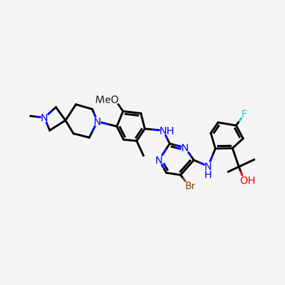 COc1cc(Nc2ncc(Br)c(Nc3ccc(F)cc3C(C)(C)O)n2)c(C)cc1N1CCC2(CC1)CN(C)C2